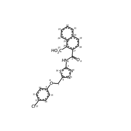 O=C(Nc1nnc(COc2ccc(Cl)cc2)s1)c1ccc2ccccc2c1C(=O)O